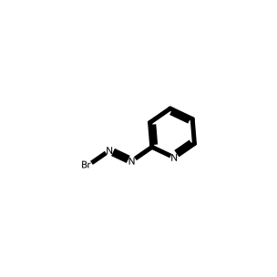 BrN=Nc1ccccn1